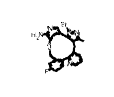 CCn1nc(C)c2c1-c1cnc(N)c(c1)OCc1cc(F)ccc1-c1ncccc1C2